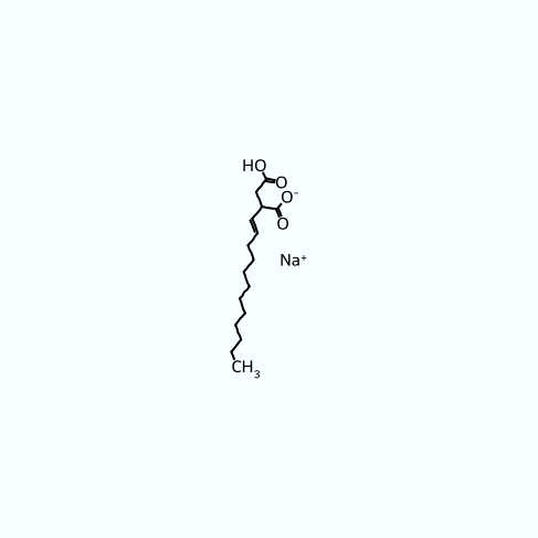 CCCCCCCCCCC=CC(CC(=O)O)C(=O)[O-].[Na+]